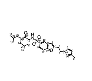 Cc1ccn(CCc2cc3cc(S(=O)(=O)NCC(=O)N(CC(C)C)CC(C)C)ccc3o2)n1